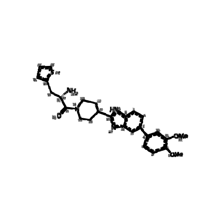 COc1ccc(-c2ccc3[nH]c(C4CCN(C(=O)[C@@H](N)Cc5cccs5)CC4)nc3c2)cc1OC